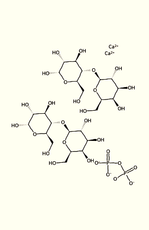 O=P([O-])([O-])OP(=O)([O-])[O-].OC[C@H]1O[C@@H](O[C@H]2[C@H](O)[C@@H](O)[C@@H](O)O[C@@H]2CO)[C@H](O)[C@@H](O)[C@H]1O.OC[C@H]1O[C@@H](O[C@H]2[C@H](O)[C@@H](O)[C@@H](O)O[C@@H]2CO)[C@H](O)[C@@H](O)[C@H]1O.[Ca+2].[Ca+2]